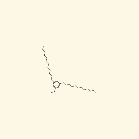 [CH2]Cc1cc(CCCCCCCCCCCC)cc(CCCCCCCCCCCC)c1